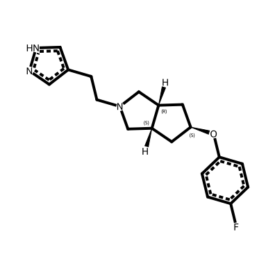 Fc1ccc(O[C@H]2C[C@@H]3CN(CCc4cn[nH]c4)C[C@@H]3C2)cc1